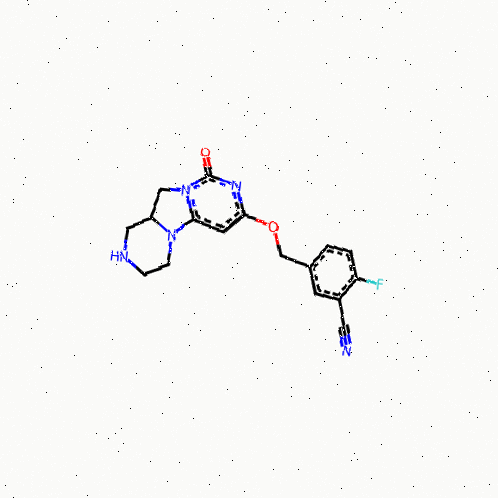 N#Cc1cc(COc2cc3n(c(=O)n2)CC2CNCCN32)ccc1F